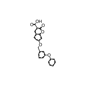 O=C(O)c1cc2ccc(OCc3cccc(Oc4ccccc4)c3)cc2oc1=O